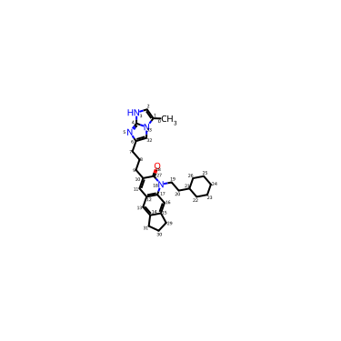 Cc1c[nH]c2nc(CCCc3cc4cc5c(cc4n(CCC4CCCCC4)c3=O)CCC5)cn12